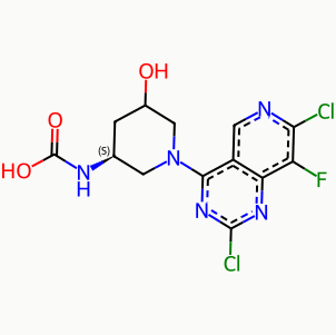 O=C(O)N[C@H]1CC(O)CN(c2nc(Cl)nc3c(F)c(Cl)ncc23)C1